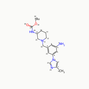 Cc1cn(-c2cc(N)cc(CN3CCCC(NC(=O)OC(C)(C)C)C3)c2)cn1